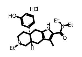 CCN1CC[C@@]2(c3cccc(O)c3)Cc3[nH]c(C(=O)N(CC)CC)c(C)c3C[C@@H]2C1.Cl